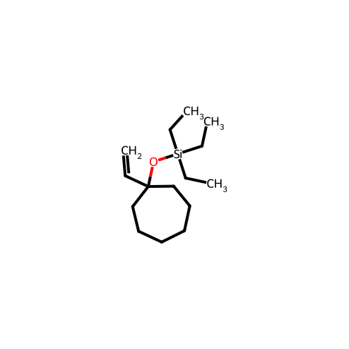 C=CC1(O[Si](CC)(CC)CC)CCCCCC1